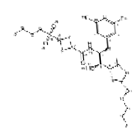 CCCCO[C@H]1CN[C@@H]([C@@H](O)[C@H](Cc2cc(F)cc(F)c2)NC(=O)C2CN(S(=O)(=O)CCCC)C2)C1